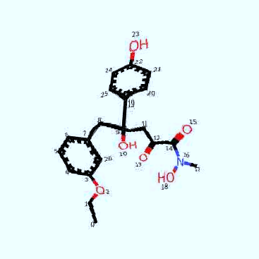 CCOc1cccc(CC(O)(CC(=O)C(=O)N(C)O)c2ccc(O)cc2)c1